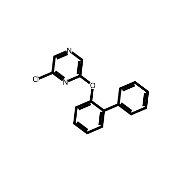 Clc1cncc(Oc2ccccc2-c2ccccc2)n1